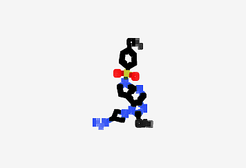 CC(=O)Oc1nc2cnc3c(ccn3S(=O)(=O)c3ccc(C)cc3)c2n1N1CC(N)C1